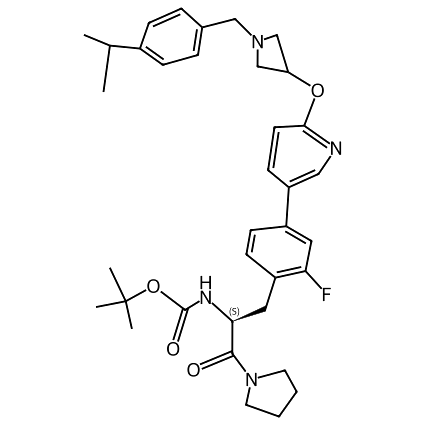 CC(C)c1ccc(CN2CC(Oc3ccc(-c4ccc(C[C@H](NC(=O)OC(C)(C)C)C(=O)N5CCCC5)c(F)c4)cn3)C2)cc1